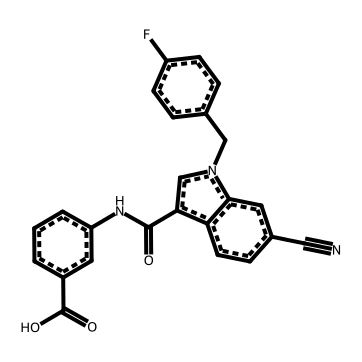 N#Cc1ccc2c(C(=O)Nc3cccc(C(=O)O)c3)cn(Cc3ccc(F)cc3)c2c1